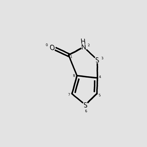 O=c1[nH]sc2cscc12